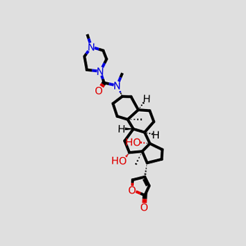 CN1CCN(C(=O)N(C)[C@H]2CC[C@@]3(C)[C@H](CC[C@@H]4[C@@H]3C[C@@H](O)[C@]3(C)[C@@H](C5=CC(=O)OC5)CC[C@]43O)C2)CC1